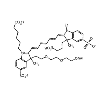 CCN1/C(=C/C=C/C=C/C=C/C2=[N+](CCCCCC(=O)O)c3ccc(S(=O)(=O)O)cc3C2(C)CCOCCOCCOC)C(C)(CCCS(=O)(=O)O)c2cc(S(=O)(=O)[O-])ccc21